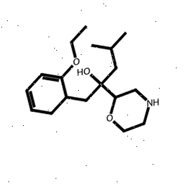 CCOC1=CC=CCC1CC(O)(CC(C)C)C1CNCCO1